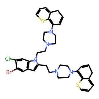 Clc1cc2c(cc1Br)cc(CCN1CCN(C3=C4SC=CC=C4CC=C3)CC1)n2CCN1CCN(C2=C3SC=CC=C3CC=C2)CC1